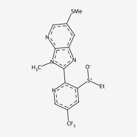 CC[S+]([O-])c1cc(C(F)(F)F)cnc1-c1nc2cc(SC)cnc2n1C